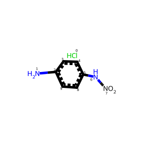 Cl.Nc1ccc(N[N+](=O)[O-])cc1